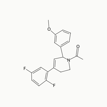 COc1cccc(C2C=C(c3cc(F)ccc3F)CCN2C(C)=O)c1